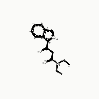 CCN(CC)C(=O)CC(=O)c1occ2ccccc12